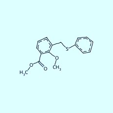 COC(=O)c1cccc(CSc2ccccc2)c1OC